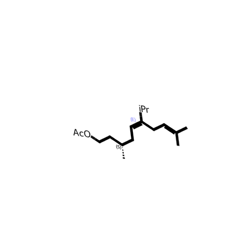 CC(=O)OCC[C@@H](C)C/C=C(\CC=C(C)C)C(C)C